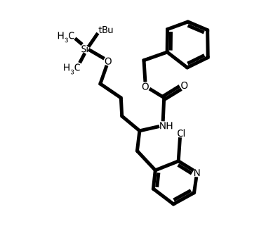 CC(C)(C)[Si](C)(C)OCCCC(Cc1cccnc1Cl)NC(=O)OCc1ccccc1